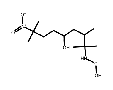 CC(CC(O)CCC(C)(C)[N+](=O)[O-])C(C)(C)NOO